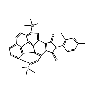 Cc1ccc(-n2c(=O)c3c4cc([Si](C)(C)C)c5ccc6ccc7c([Si](C)(C)C)cc(c3c2=O)c2c7c6c5c42)c(C)c1